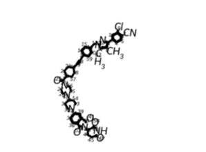 Cc1c(-c2ccc(C#N)c(Cl)c2)nn(Cc2ccc(C#CC3CCC(C(=O)N4CCN(C5CCN(c6ccc7c(c6)C(=O)N(C6CCC(=O)NC6=O)C7=O)CC5)CC4)CC3)cc2)c1C